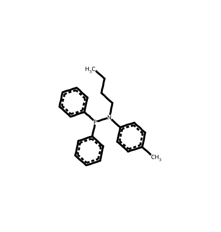 CCCCN(c1ccc(C)cc1)P(c1ccccc1)c1ccccc1